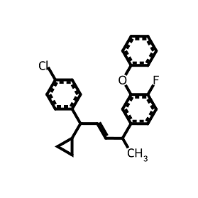 CC(C=CC(c1ccc(Cl)cc1)C1CC1)c1ccc(F)c(Oc2ccccc2)c1